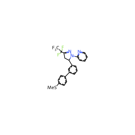 CSc1ccc(-c2cccc(C3CC(C(F)(F)C(F)(F)F)=NN3c3ccccn3)c2)cc1